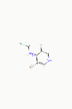 CC1CNC=C(Br)/C1=N/CF